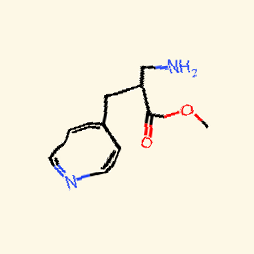 COC(=O)C(CN)Cc1ccncc1